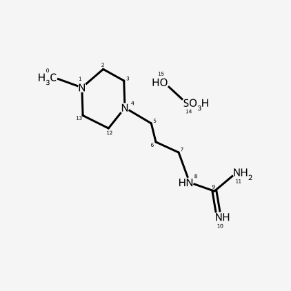 CN1CCN(CCCNC(=N)N)CC1.O=S(=O)(O)O